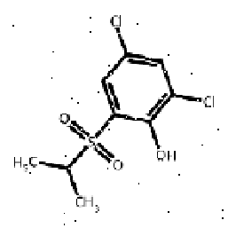 CC(C)S(=O)(=O)c1cc(Cl)cc(Cl)c1O